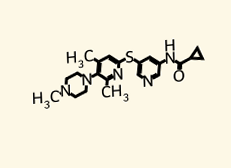 Cc1cc(Sc2cncc(NC(=O)C3CC3)c2)nc(C)c1N1CCN(C)CC1